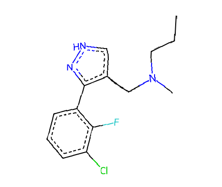 CCCN(C)Cc1c[nH]nc1-c1cccc(Cl)c1F